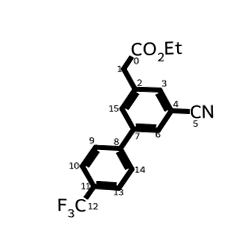 CCOC(=O)Cc1cc(C#N)cc(-c2ccc(C(F)(F)F)cc2)c1